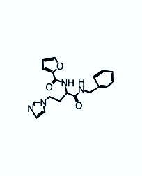 O=C(NC(CCn1ccnc1)C(=O)NCc1ccccc1)c1ccco1